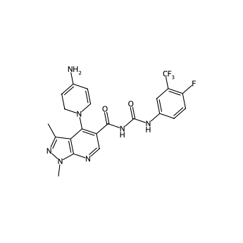 Cc1nn(C)c2ncc(C(=O)NC(=O)Nc3ccc(F)c(C(F)(F)F)c3)c(N3C=CC(N)=CC3)c12